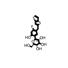 OC[C@H]1OC(c2cc(Cc3cc4sccc4s3)c(F)cc2O)[C@H](O)C(O)[C@@H]1O